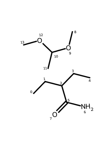 CCC(CC)C(N)=O.COC(C)OC